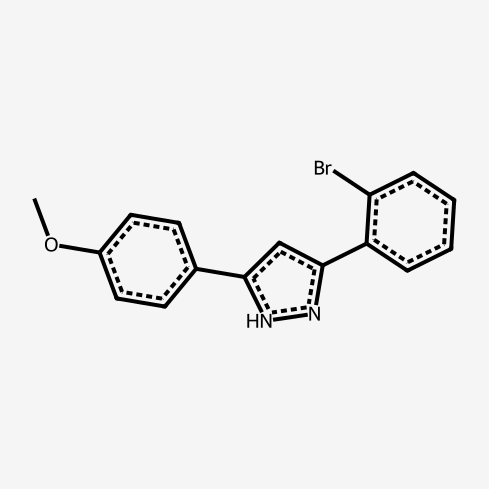 COc1ccc(-c2cc(-c3ccccc3Br)n[nH]2)cc1